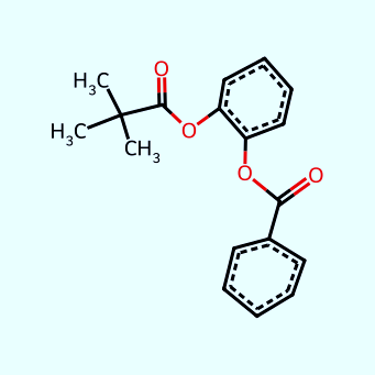 CC(C)(C)C(=O)Oc1ccccc1OC(=O)c1ccccc1